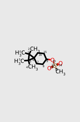 CC1(C)C(C)(C)C12CCC(OS(C)(=O)=O)CC2